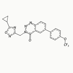 O=c1c2cc(-c3ccc(OC(F)(F)F)cc3)ccc2nnn1Cc1noc(C2CC2)n1